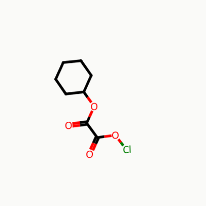 O=C(OCl)C(=O)OC1CCCCC1